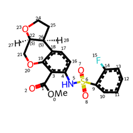 COC(=O)c1c(NS(=O)(=O)c2ccccc2F)ccc2c1OC[C@H]1OCC[C@@H]21